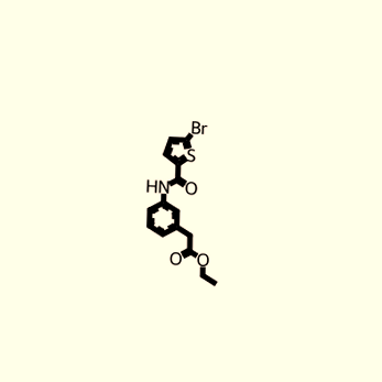 CCOC(=O)Cc1cccc(NC(=O)c2ccc(Br)s2)c1